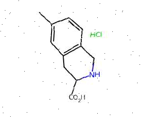 Cc1ccc2c(c1)CC(C(=O)O)NC2.Cl